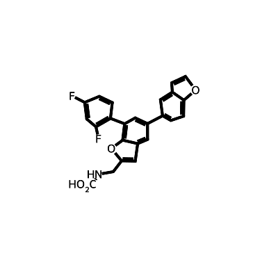 O=C(O)NCc1cc2cc(-c3ccc4occc4c3)cc(-c3ccc(F)cc3F)c2o1